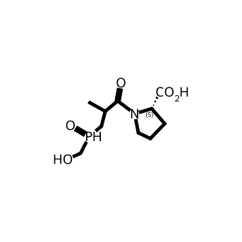 CC(C[PH](=O)CO)C(=O)N1CCC[C@H]1C(=O)O